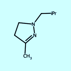 CC1=NN(CC(C)C)CC1